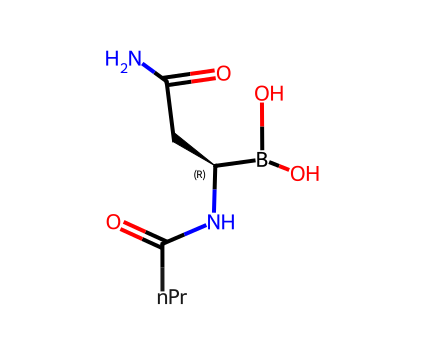 CCCC(=O)N[C@@H](CC(N)=O)B(O)O